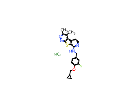 Cc1nnc2sc3c(NCc4ccc(OCC5CC5)c(F)c4)nccc3c2c1C.Cl